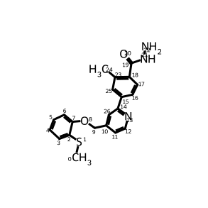 CSc1ccccc1OCc1ccnc(-c2ccc(C(=O)NN)c(C)c2)c1